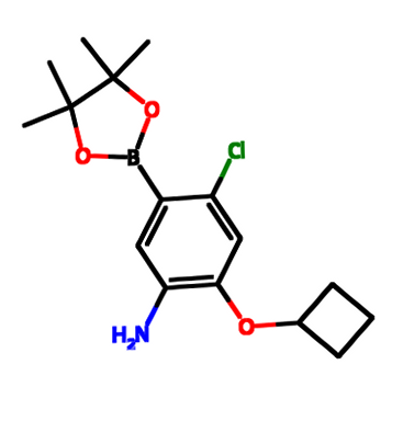 CC1(C)OB(c2cc(N)c(OC3CCC3)cc2Cl)OC1(C)C